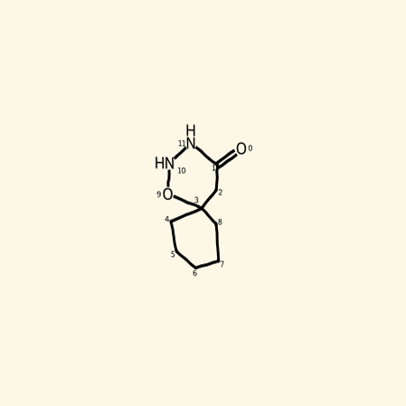 O=C1CC2(CCCCC2)ONN1